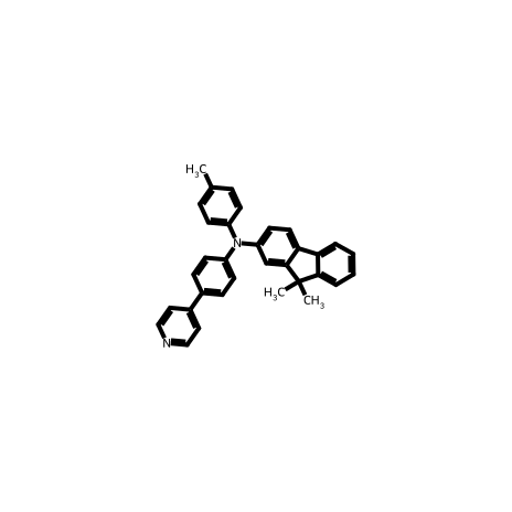 Cc1ccc(N(c2ccc(-c3ccncc3)cc2)c2ccc3c(c2)C(C)(C)c2ccccc2-3)cc1